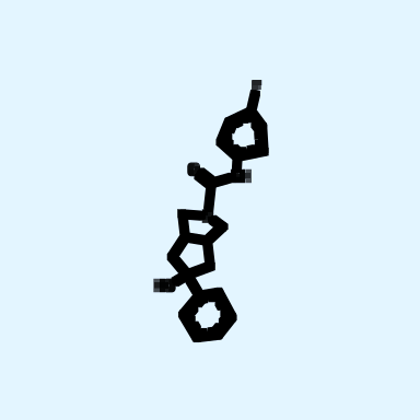 O=C(Nc1ccc(F)cc1)N1CC2CC(O)(c3ccccc3)CC2C1